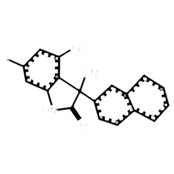 O=C1Nc2cc(I)cc(C(F)(F)F)c2C1(O)c1ccc2ccccc2c1